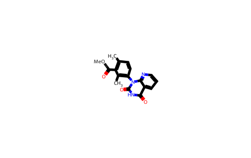 COC(=O)c1c(C)ccc(-n2c(=O)[nH]c(=O)c3cccnc32)c1C